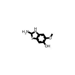 COc1cc2c(cc1O)SC(N)N2